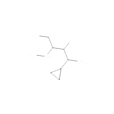 CCC(NC)C(C)C(C)C1CC1